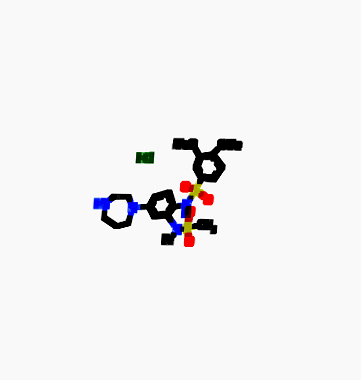 CCN(c1cc(N2CCCNCC2)ccc1NS(=O)(=O)c1ccc(OC)c(OC)c1)S(C)(=O)=O.Cl